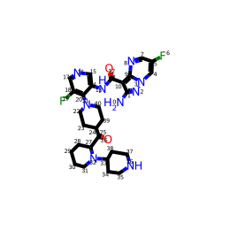 Nc1nn2cc(F)cnc2c1C(=O)Nc1cncc(F)c1N1CCC(C(=O)C2CCCCN2C2CCNCC2)CC1